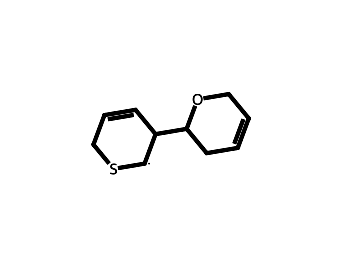 [CH]1SCC=CC1C1CC=CCO1